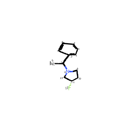 CC(=O)C(c1ccccc1)N1CC[C@H](F)C1